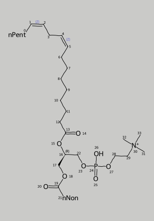 CCCCC/C=C\C/C=C\CCCCCCCC(=O)O[C@H](COC(=O)CCCCCCCCC)COP(=O)(O)OCC[N+](C)(C)C